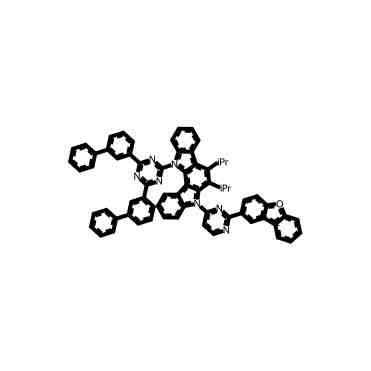 CC(C)c1c(C(C)C)c2c(c3ccccc3n2-c2ccnc(-c3ccc4oc5ccccc5c4c3)n2)c2c1c1ccccc1n2-c1nc(-c2cccc(-c3ccccc3)c2)nc(-c2cccc(-c3ccccc3)c2)n1